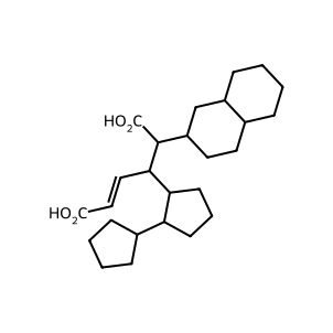 O=C(O)/C=C/C(C1CCCC1C1CCCC1)C(C(=O)O)C1CCC2CCCCC2C1